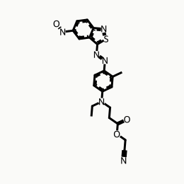 CCN(CCC(=O)OCC#N)c1ccc(/N=N/c2snc3ccc(N=O)cc23)c(C)c1